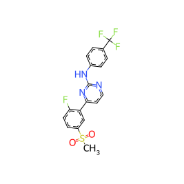 CS(=O)(=O)c1ccc(F)c(-c2ccnc(Nc3ccc(C(F)(F)F)cc3)n2)c1